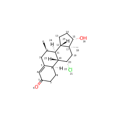 C[C@@H]1CC2=CC(=O)CC[C@@H]2[C@@H]2[C@@H]1[C@@H]1CC[C@H](O)[C@@]1(C)C[C@@H]2Cl